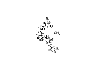 C.C#CCNC(C=S(=O)=O)c1ccc(-c2ccc3ncnc(Nc4ccc(OCc5cccc(F)c5)c(Cl)c4)c3c2)o1